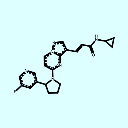 O=C(C=Cc1cnn2ccc(N3CCCC3c3cncc(F)c3)nc12)NC1CC1